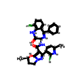 Cc1ccc(-c2nn3c(c2C(=O)N[C@H]2N=C(c4ccccc4)c4cccc(F)c4NC2=O)O[C@H](C)CC3)c(F)n1